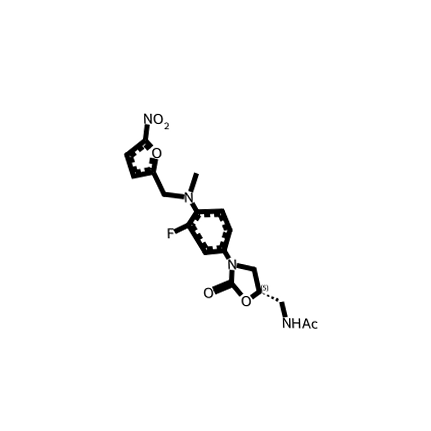 CC(=O)NC[C@H]1CN(c2ccc(N(C)Cc3ccc([N+](=O)[O-])o3)c(F)c2)C(=O)O1